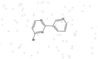 Brc1ccnc(-c2cccnc2)n1